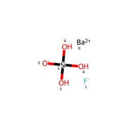 [Ba+2].[F-].[O-][Si](O)(O)O